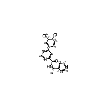 C[C@H](NC(=O)c1cc(-c2ccc(Cl)c(Cl)c2)ncn1)c1ccncc1